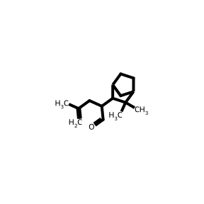 C=C(C)CC(C=O)C1C2CCC(C2)C1(C)C